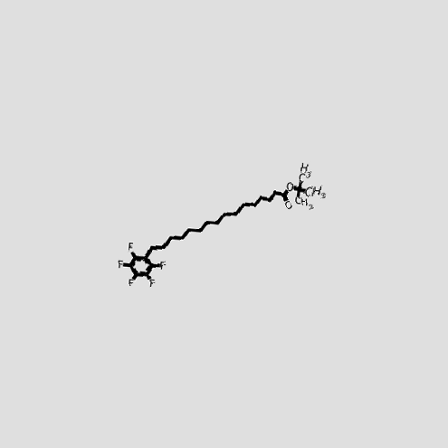 CC(C)(C)OC(=O)CCCCCCCCCCCCCCCc1c(F)c(F)c(F)c(F)c1F